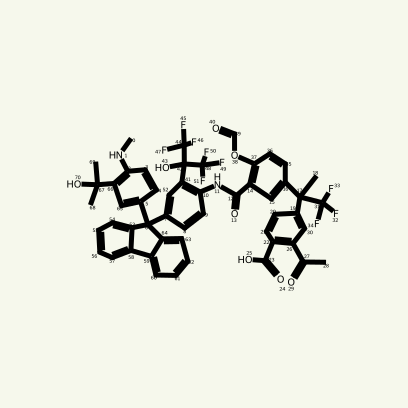 CNc1ccc(C2(c3ccc(NC(=O)c4cc(C(C)(c5ccc(C(=O)O)c(C(C)=O)c5)C(F)(F)F)ccc4OC=O)c(C(O)(C(F)(F)F)C(F)(F)F)c3)c3ccccc3-c3ccccc32)cc1C(C)(C)O